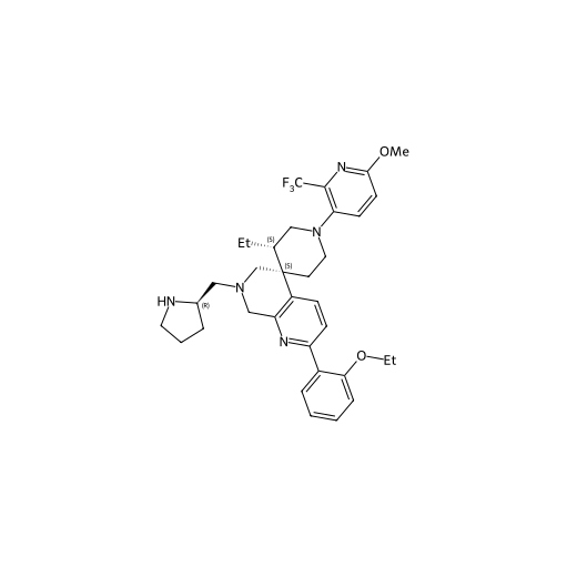 CCOc1ccccc1-c1ccc2c(n1)CN(C[C@H]1CCCN1)C[C@]21CCN(c2ccc(OC)nc2C(F)(F)F)C[C@H]1CC